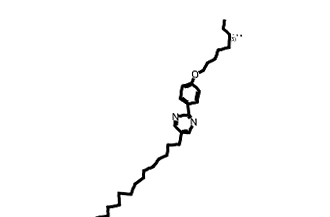 CCCCCCCCCCCCCCc1cnc(-c2ccc(OCCCCC[C@@H](C)CC)cc2)nc1